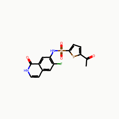 CC(=O)c1ccc(S(=O)(=O)Nc2cc3c(=O)[nH]ccc3cc2F)s1